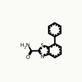 NC(=O)c1nc2cccc(-c3ccccc3)c2s1